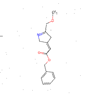 COCC1=NC/C(=C\C(=O)OCc2ccccc2)C1